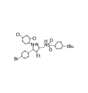 CCc1c(CNS(=O)(=O)c2ccc(C(C)(C)C)cc2)nn(-c2ccc(Cl)cc2Cl)c1-c1ccc(Br)cc1